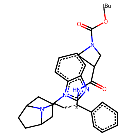 CC(C)(C)OC(=O)N1CC(C(=O)N[C@@H](CCN2C3CCC2CC(n2cnc4ccccc42)C3)c2ccccc2)C1